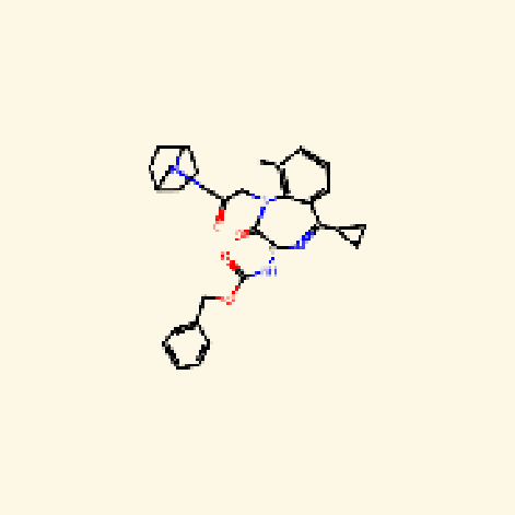 Cc1cccc2c1N(CC(=O)N1CC3CCC(CC3)C1)C(=O)[C@@H](NC(=O)OCc1ccccc1)N=C2C1CC1